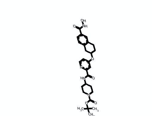 CC(C)(C)OC(=O)N1CCC(NC(=O)c2cc(OC3CCc4cc(C(=O)NO)ccc4C3)ccn2)CC1